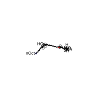 CCCCCCCC/C=C\CCCCCCCC(=O)OC[C@H](CO)OC(=O)CCCCCCCCCCCNC(=O)CCCC[C@@H]1SC[C@@H]2NC(=O)N[C@@H]21